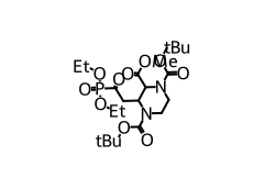 CCOP(=O)(OCC)C(=O)CC1C(C(=O)OC)N(C(=O)OC(C)(C)C)CCN1C(=O)OC(C)(C)C